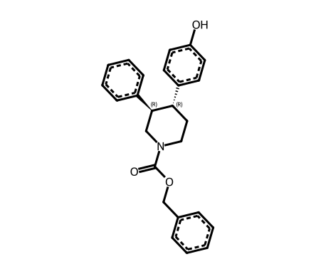 O=C(OCc1ccccc1)N1CC[C@@H](c2ccc(O)cc2)[C@H](c2ccccc2)C1